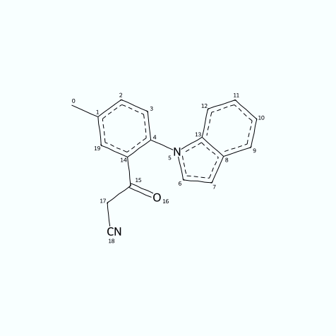 Cc1ccc(-n2ccc3ccccc32)c(C(=O)CC#N)c1